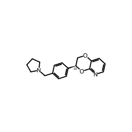 c1cnc2c(c1)OC[C@H](c1ccc(CN3CCCC3)cc1)O2